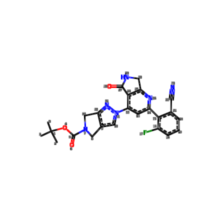 CC(C)(C)OC(=O)N1Cc2cn(-c3cc(-c4c(F)cccc4C#N)nc4c3C(=O)NC4)nc2C1